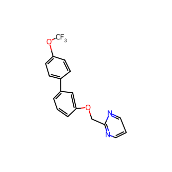 FC(F)(F)Oc1ccc(-c2cccc(OCc3ncccn3)c2)cc1